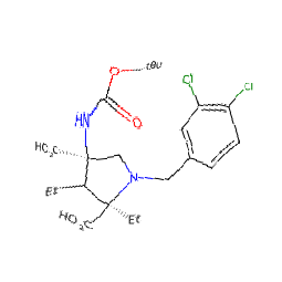 CCC1[C@](CC)(C(=O)O)N(Cc2ccc(Cl)c(Cl)c2)C[C@@]1(NC(=O)OC(C)(C)C)C(=O)O